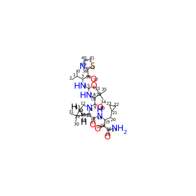 CC(C)C(NC(=O)N[C@H](C(=O)N1C[C@H]2[C@@H]([C@H]1C(=O)NC(CC1CC1)C(=O)C(N)=O)C2(C)C)C(C)(C)C)C(=O)c1nccs1